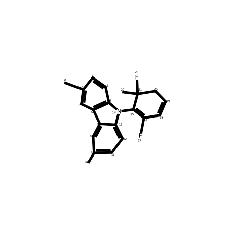 Cc1ccc2c(c1)c1cc(C)ccc1n2C1=C(F)C=CCC1(C)F